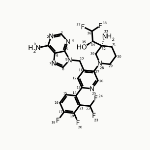 Nc1ncnc2c1ncn2Cc1cc(-c2ccc(F)c(F)c2C(F)F)ncc1N1CCC[C@](N)([C@@H](O)C(F)F)C1